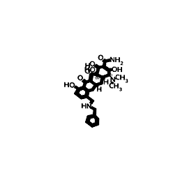 CN(C)[C@H]1C(O)=C(C(N)=O)C(=O)[C@@]2(O)C(O)=C3C(=O)c4c(O)ccc(CNCc5ccccc5)c4C[C@H]3C[C@@H]12